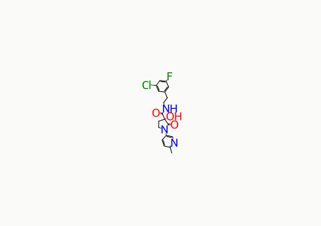 Cc1ccc(N2CCC(O)(C(=O)NCCc3cc(F)cc(Cl)c3)C2=O)cn1